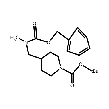 CN(CC1CCN(C(=O)OC(C)(C)C)CC1)C(=O)OCc1ccccc1